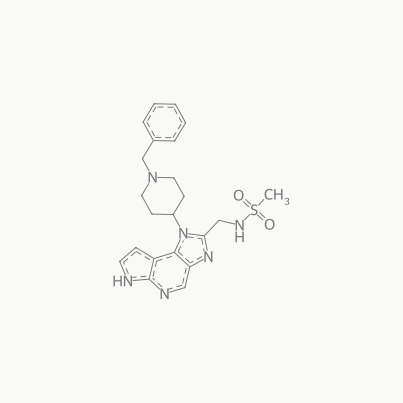 CS(=O)(=O)NCc1nc2cnc3[nH]ccc3c2n1C1CCN(Cc2ccccc2)CC1